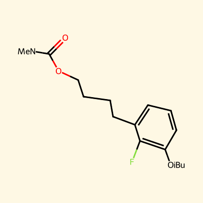 CNC(=O)OCCCCc1cccc(OCC(C)C)c1F